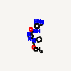 COCCN(c1cc(C(=O)Nc2ccc3[nH]ncc3c2)ncn1)C1CCCCC1